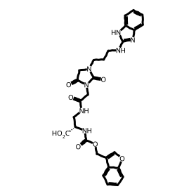 O=C(CN1C(=O)CN(CCCNc2nc3ccccc3[nH]2)C1=O)NC[C@H](NC(=O)OCc1coc2ccccc12)C(=O)O